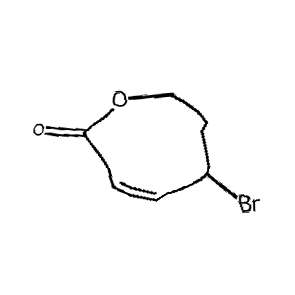 O=C1C=CC(Br)CCO1